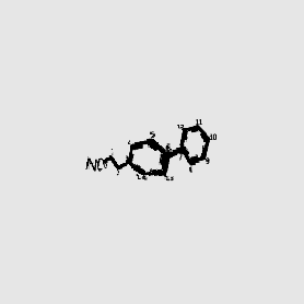 N#CC[CH]c1ccc(-c2ccccc2)cc1